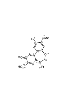 COc1cc2c(cc1Cl)-c1cc(=O)c(C(=O)O)cn1C(C(C)C)CO2